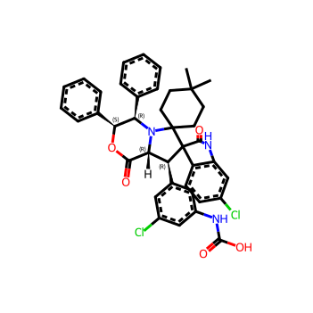 CC1(C)CCC2(CC1)N1[C@H](c3ccccc3)[C@H](c3ccccc3)OC(=O)[C@H]1[C@H](c1cc(Cl)cc(NC(=O)O)c1)C21C(=O)Nc2cc(Cl)ccc21